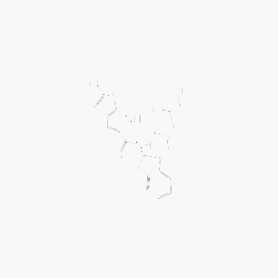 O=C(N[C@@H]1Cc2ccccc2[C@H]1C[S+]([O-])CC(O)CO)c1cc2cc(Cl)sc2[nH]1